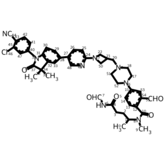 CC(CCC(=O)NC=O)N(C)C(=O)c1ccc(N2CCN(CC3CN(c4ccc(-c5ccc6c(c5)C(C)(C)C(=O)N6c5ccc(C#N)c(Cl)c5)cn4)C3)CC2)cc1C=O